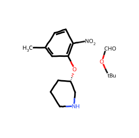 CC(C)(C)OC=O.Cc1ccc([N+](=O)[O-])c(O[C@H]2CCCNC2)c1